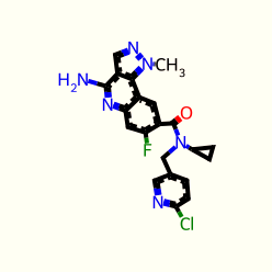 Cn1ncc2c(N)nc3cc(F)c(C(=O)N(Cc4ccc(Cl)nc4)C4CC4)cc3c21